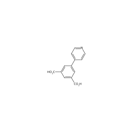 O=C(O)c1cc(C(=O)O)cc(-c2ccncc2)c1